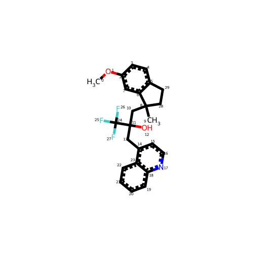 COc1ccc2c(c1)C(C)(CC(O)(Cc1ccnc3ccccc13)C(F)(F)F)CC2